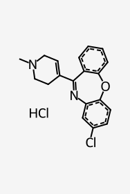 CN1CC=C(C2=Nc3cc(Cl)ccc3Oc3ccccc32)CC1.Cl